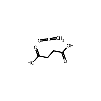 C=C=O.O=C(O)CCC(=O)O